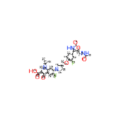 CC(=O)NC[C@@H]1OC(=O)NC1c1ccc(OC[C@@H]2CCN(c3cc4c(cc3F)c(=O)c(C(=O)O)cn4C3CC3)C2)c(F)c1